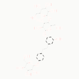 OCC1OC(Oc2ccc(CCc3cc(O)cc(OC4OC(CO)C(OC5OC(CO)C(O)C(O)C5O)C(O)C4O)c3)cc2)C(O)C(O)C1O